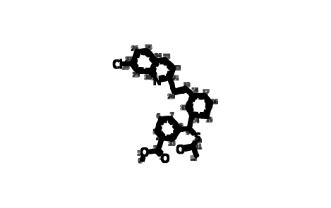 COC(=O)c1cccc(C(SC(C)=O)c2cccc(/C=C/c3ccc4ccc(Cl)cc4n3)c2)c1